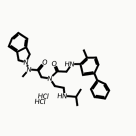 Cc1ccc(-c2ccccc2)cc1NCC(=O)N(CCNC(C)C)CC(=O)N(C)N1Cc2ccccc2C1.Cl.Cl